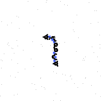 C/C(=N\c1cccc(Cc2cccc(/N=C(\C)c3cccc(/C(C)=N/c4c(C)cc(C)cc4C)n3)c2)c1)c1cccc(/C(C)=N/c2c(C)cc(C)cc2C)n1